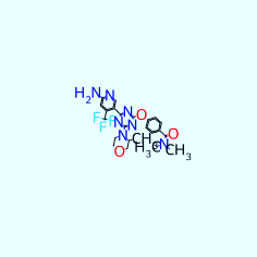 CC1COCCN1c1nc(Oc2ccc(C(=O)N(C)C)cc2)nc(-c2cnc(N)cc2C(F)(F)F)n1